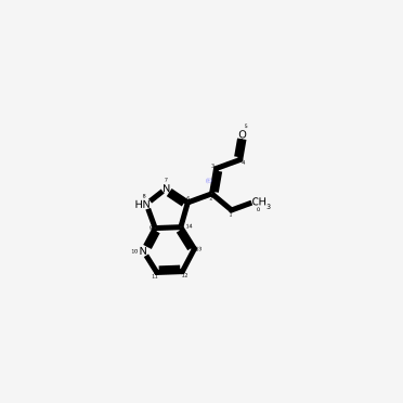 CC/C(=C\C=O)c1n[nH]c2ncccc12